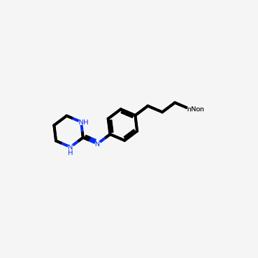 CCCCCCCCCCCCc1ccc(N=C2NCCCN2)cc1